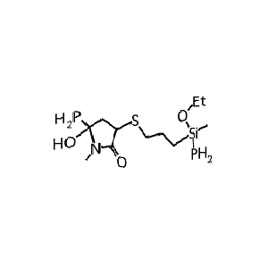 CCO[Si](C)(P)CCCSC1CC(O)(P)N(C)C1=O